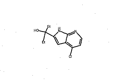 CCC(O)(CC)c1cc2c(Cl)ccnc2[nH]1